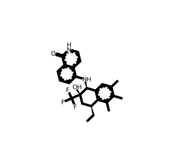 CC[C@H]1C[C@](O)(C(F)(F)F)[C@@H](Nc2cccc3c(=O)[nH]ccc23)c2cc(C)c(C)c(C)c21